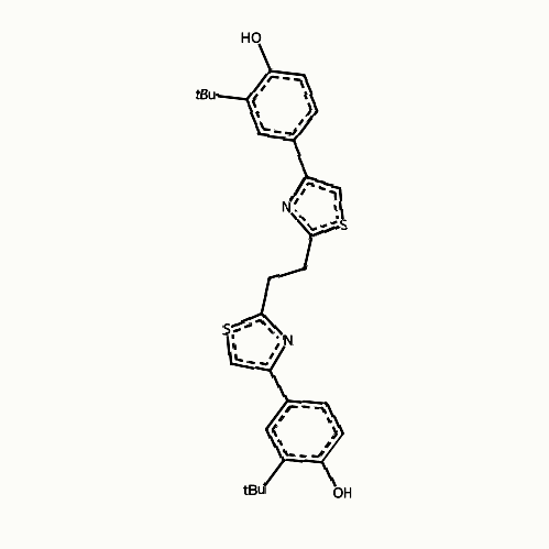 CC(C)(C)c1cc(-c2csc(CCc3nc(-c4ccc(O)c(C(C)(C)C)c4)cs3)n2)ccc1O